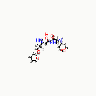 CN(C1CCOCC1)C(C)(C)C(=O)N/C(O)=C/C(=N)C(C)(C)COC1CCCCO1